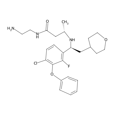 C[C@@H](CC(=O)NCCN)N[C@@H](CC1CCOCC1)c1ccc(Cl)c(Oc2ccccc2)c1F